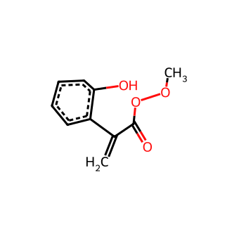 C=C(C(=O)OOC)c1ccccc1O